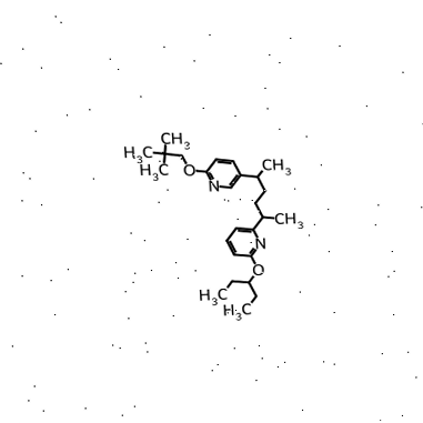 CCC(CC)Oc1cccc(C(C)CCC(C)c2ccc(OCC(C)(C)C)nc2)n1